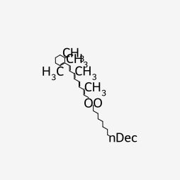 CCCCCCCCCCCCCCCCCC(=O)OC/C=C(C)/C=C/C=C(C)/C=C/C1=C(C)CCCC1(C)C